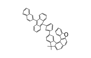 CC1(C)c2ccc(-c3cccc(-c4c5ccccc5c(-c5ccc6ccccc6c5)c5ccccc45)c3)cc2-c2c1ccc1ccc3oc4ccccc4c3c21